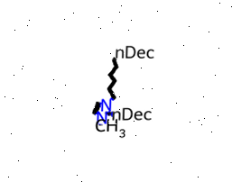 CCCCCCCCCCCCCCCCn1cc[n+](C)c1CCCCCCCCCC